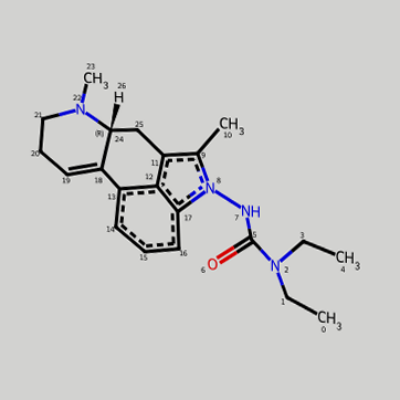 CCN(CC)C(=O)Nn1c(C)c2c3c(cccc31)C1=CCCN(C)[C@@H]1C2